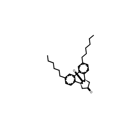 CCCCCCc1ccc2c(c1)-c1cc(CCCCCC)ccc1[C@]13CC(=O)C[C@]21CC(=O)C3